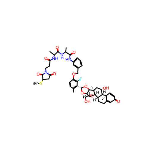 Cc1ccc(OCc2cccc(NC(=O)C(C)NC(=O)C(C)NC(=O)CCN3C(=O)CC(SC(C)C)C3=O)c2)c(F)c1[C@H]1O[C@@H]2C[C@H]3[C@@H]4CCC5=CC(=O)C=C[C@]5(C)[C@H]4[C@@H](O)C[C@]3(C)[C@]2(C(=O)CO)O1